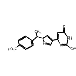 Cc1nc(-c2cnn(C(C)c3ccc(C(=O)O)cc3)c2)cc(=O)[nH]1